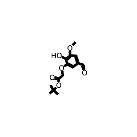 COc1cc(C=O)cc(OCC(=O)OC(C)(C)C)c1O